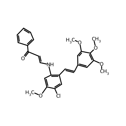 COc1cc(NC=CC(=O)c2ccccc2)c(C=Cc2cc(OC)c(OC)c(OC)c2)cc1Cl